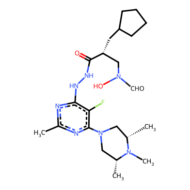 Cc1nc(NNC(=O)[C@H](CC2CCCC2)CN(O)C=O)c(F)c(N2C[C@@H](C)N(C)[C@@H](C)C2)n1